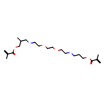 C=C(C)C(=O)OCCCNCCOCCOCCNCC(C)COC(=O)C(=C)C